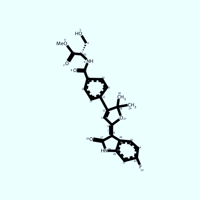 COC(=O)[C@H](CO)NC(=O)c1ccc(C2=C/C(=C3\C(=O)Nc4cc(F)ccc43)OC2(C)C)cc1